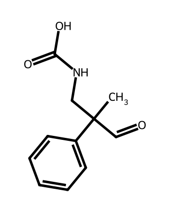 CC(C=O)(CNC(=O)O)c1ccccc1